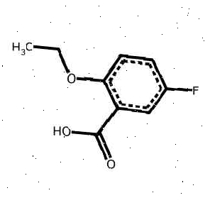 CCOc1ccc(F)cc1C(=O)O